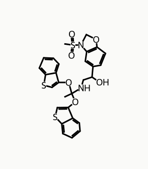 CC(NCC(O)c1ccc2c(c1)N(S(C)(=O)=O)CO2)(Oc1csc2ccccc12)Oc1csc2ccccc12